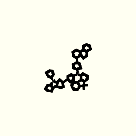 CC1(C)c2ccccc2-c2c(N(c3ccc(-c4ccc5c6ccccc6n(-c6ccccc6)c5c4)cc3)c3ccc(-c4cccc5c4ccc4ccccc45)cc3)cccc21